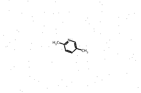 Cc1[c]cc(C)nc1